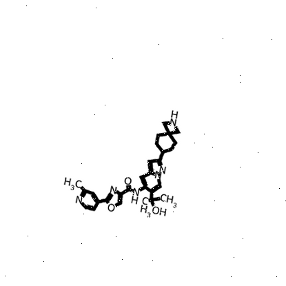 Cc1cc(-c2nc(C(=O)Nc3cc4cc(C5CCC6(CC5)CNC6)nn4cc3C(C)(C)O)co2)ccn1